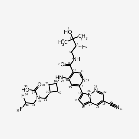 CC(C)(O)[C@H](F)CNC(=O)c1cnc(-c2ccc3cc(C#N)cnn23)cc1N[C@H]1C[C@H](CN(CC(F)F)C(=O)O)C1